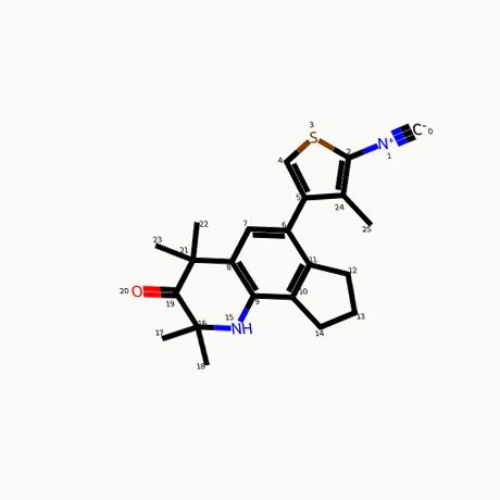 [C-]#[N+]c1scc(-c2cc3c(c4c2CCC4)NC(C)(C)C(=O)C3(C)C)c1C